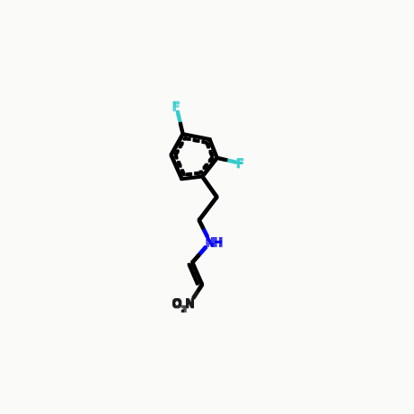 O=[N+]([O-])C=CNCCc1ccc(F)cc1F